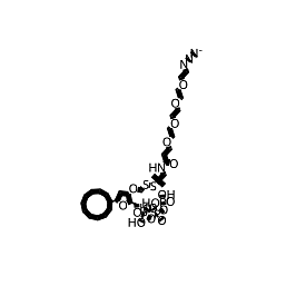 CC(C)(CNC(=O)CCOCCOCCOCCOCCN=[N+]=[N-])SSCOC1C[C@H](C2CCCCCCCCCC2)O[C@@H]1COP(=O)(O)OP(=O)(O)OP(=O)(O)O